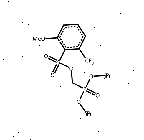 COc1cccc(C(F)(F)F)c1S(=O)(=O)OCP(=O)(OC(C)C)OC(C)C